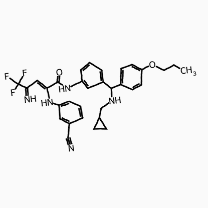 CCCOc1ccc(C(NCC2CC2)c2cccc(NC(=O)/C(=C/C(=N)C(F)(F)F)Nc3cccc(C#N)c3)c2)cc1